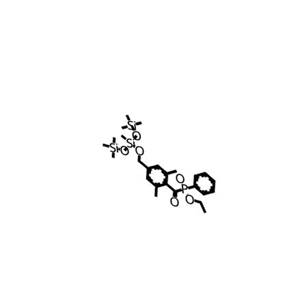 CCOP(=O)(C(=O)c1c(C)cc(CO[Si](C)(O[Si](C)(C)C)O[Si](C)(C)C)cc1C)c1ccccc1